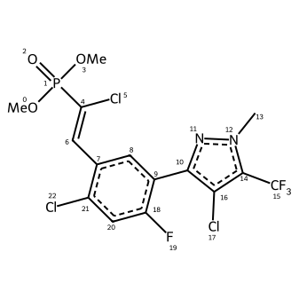 COP(=O)(OC)C(Cl)=Cc1cc(-c2nn(C)c(C(F)(F)F)c2Cl)c(F)cc1Cl